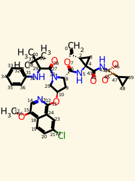 C=C[C@@H]1C[C@]1(NC(=O)[C@@H]1C[C@@H](Oc2ncc(OC)c3ccc(Cl)cc23)CN1C(=O)C(Nc1ccccc1)C(C)(C)C)C(=O)NS(=O)(=O)C1CC1